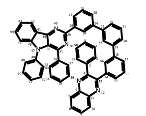 c1ccc(-c2nc3ccccc3nc2-c2cccc(-c3cccc(-c4cccc(-c5nc(-c6ccccc6)c6c(n5)c5ccccc5n6-c5ccccc5)c4)c3)c2)cc1